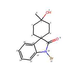 CC1(O)CCC2(CC1)C(=O)N(Br)c1ccccc12